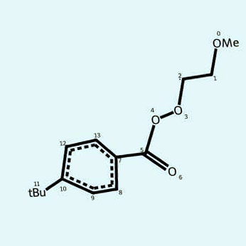 COC[CH]OOC(=O)c1ccc(C(C)(C)C)cc1